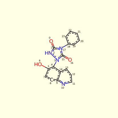 O=c1[nH]n(-c2c(O)ccc3ncccc23)c(=O)n1-c1ccccc1